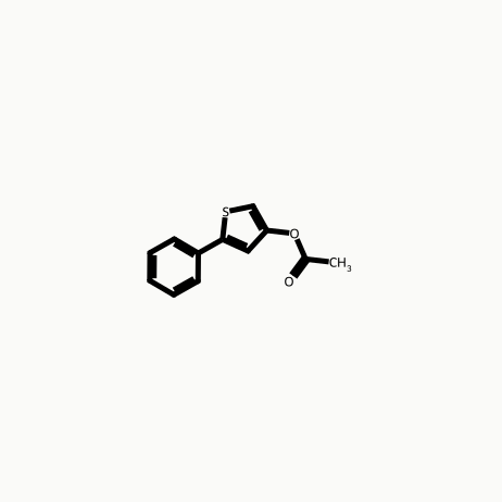 CC(=O)Oc1csc(-c2ccccc2)c1